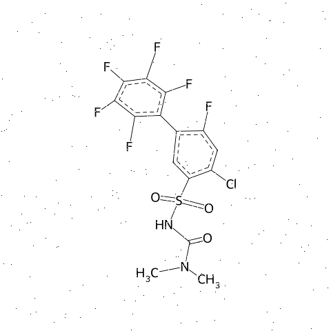 CN(C)C(=O)NS(=O)(=O)c1cc(-c2c(F)c(F)c(F)c(F)c2F)c(F)cc1Cl